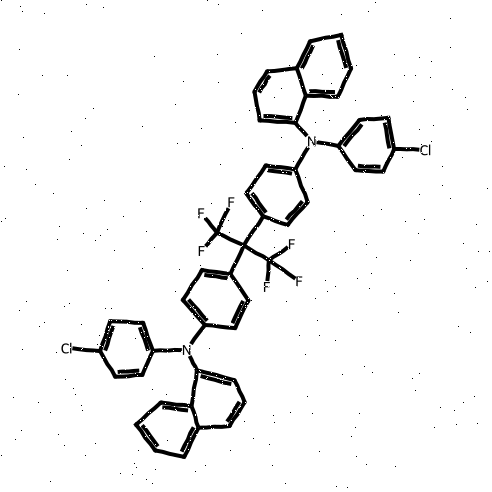 FC(F)(F)C(c1ccc(N(c2ccc(Cl)cc2)c2cccc3ccccc23)cc1)(c1ccc(N(c2ccc(Cl)cc2)c2cccc3ccccc23)cc1)C(F)(F)F